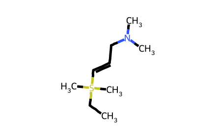 CCS(C)(C)/C=C/CN(C)C